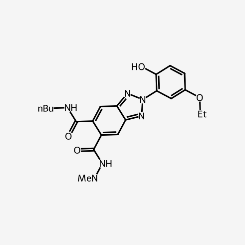 CCCCNC(=O)c1cc2nn(-c3cc(OCC)ccc3O)nc2cc1C(=O)NNC